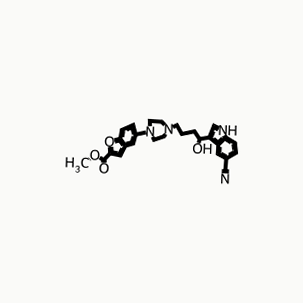 COC(=O)c1cc2cc(N3CCN(CCCC(O)c4c[nH]c5ccc(C#N)cc45)CC3)ccc2o1